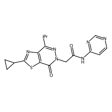 CC(C)c1nn(CC(=O)Nc2ccncn2)c(=O)c2sc(C3CC3)nc12